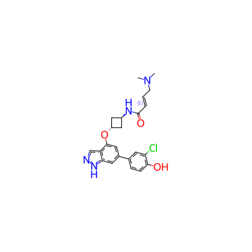 CN(C)C/C=C/C(=O)N[C@H]1C[C@H](Oc2cc(-c3ccc(O)c(Cl)c3)cc3[nH]ncc23)C1